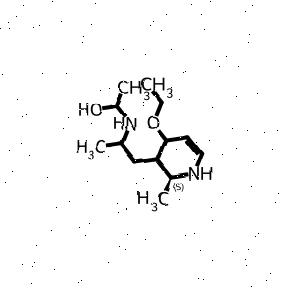 CCOC1C=CN[C@@H](C)C1CC(C)NC(C)O